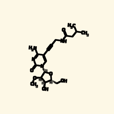 CO[C@@H]1[C@H](O)[C@@H](CO)O[C@H]1n1cc(C#CCNC(=O)CC(C)C)c(N)nc1=O